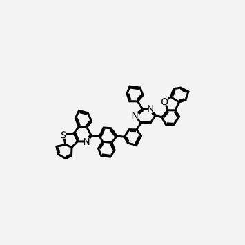 C1=CC2Sc3c(nc(-c4ccc(-c5cccc(-c6cc(-c7cccc8c7oc7ccccc78)nc(-c7ccccc7)n6)c5)c5ccccc45)c4ccccc34)C2C=C1